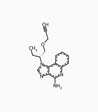 C#CCOC[C@@H](CC)n1cnc2c(N)nc3ccccc3c21